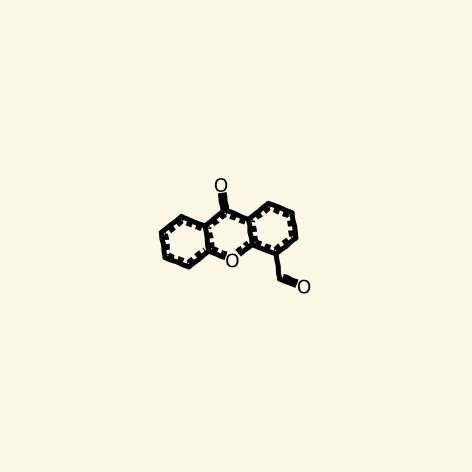 O=Cc1cccc2c(=O)c3ccccc3oc12